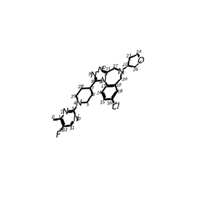 Cc1nc(N2CCC(c3nnc4n3-c3ccc(Cl)cc3CN([C@H]3CCOC3)C4)CC2)ncc1F